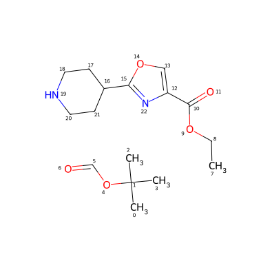 CC(C)(C)OC=O.CCOC(=O)c1coc(C2CCNCC2)n1